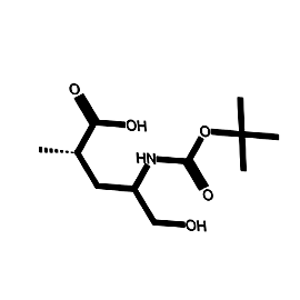 C[C@@H](CC(CO)NC(=O)OC(C)(C)C)C(=O)O